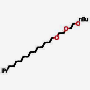 CCCCOCCOCCOCCCCCCCCCCCCCC(C)C